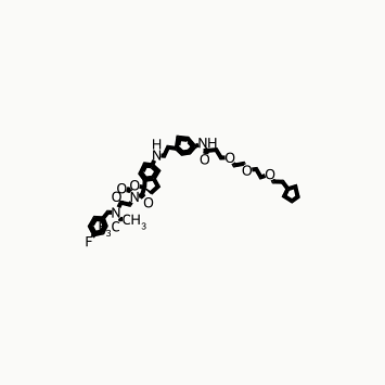 C[C@H](N(Cc1ccc(F)cc1)C(=O)CN1C(=O)O[C@@]2(CCc3cc(NCCc4ccc(NC(=O)CCOCCOCCOCCC5CCCC5)cc4)ccc32)C1=O)C(F)(F)F